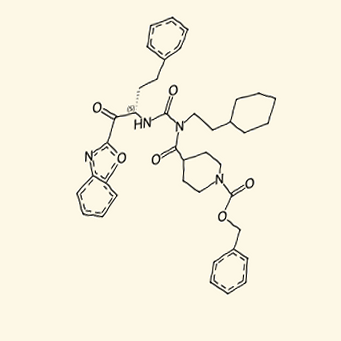 O=C(c1nc2ccccc2o1)[C@H](CCc1ccccc1)NC(=O)N(CCC1CCCCC1)C(=O)C1CCN(C(=O)OCc2ccccc2)CC1